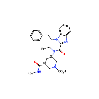 CC(C)CN(C(=O)c1nc2ccccc2n1CCc1ccccc1)[C@H]1C[C@@H](C(=O)NC(C)(C)C)CN(C(=O)O)C1